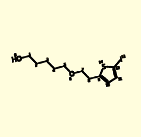 OCCCCCOCCc1ccc(I)s1